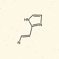 [N]C=Cc1ncc[nH]1